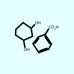 O=C(O)c1ccccc1.OC1CCCC(O)C1